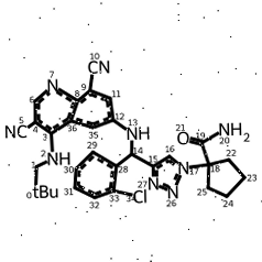 CC(C)(C)CNc1c(C#N)cnc2c(C#N)cc(NC(c3cn(C4(C(N)=O)CCCC4)nn3)c3ccccc3Cl)cc12